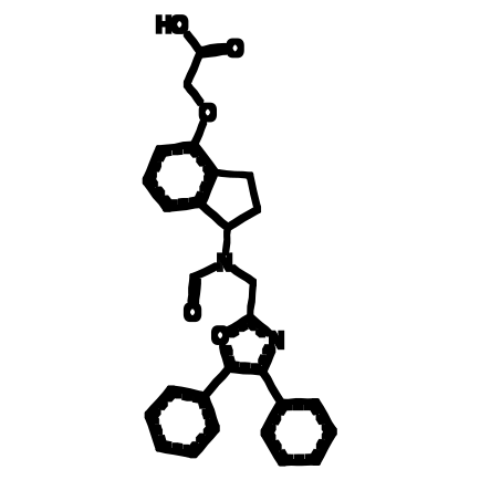 O=CN(Cc1nc(-c2ccccc2)c(-c2ccccc2)o1)C1CCc2c(OCC(=O)O)cccc21